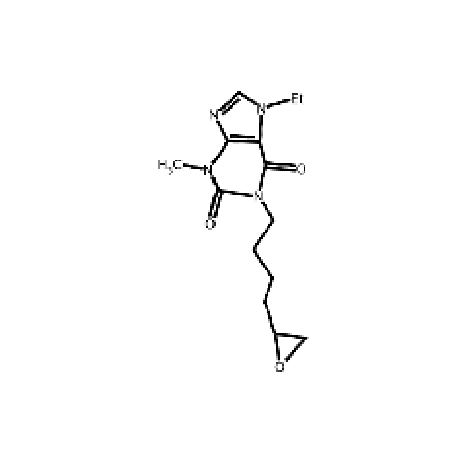 CCn1cnc2c1c(=O)n(CCCCC1CO1)c(=O)n2C